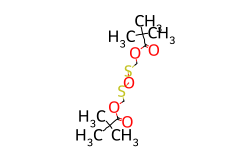 CC(C)(C)C(=O)OCSOSCOC(=O)C(C)(C)C